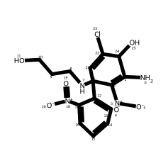 NC1=C([N+](=O)[O-])C(NCCCO)(c2ccccc2[N+](=O)[O-])C=C(Cl)C1O